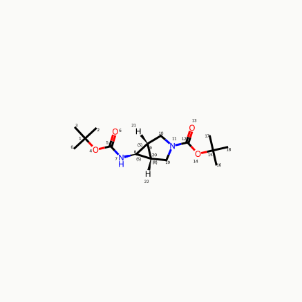 CC(C)(C)OC(=O)N[C@H]1[C@@H]2CN(C(=O)OC(C)(C)C)C[C@@H]21